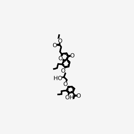 CCCc1c(OCC(O)COc2ccc3c(=O)cc(CCC(=O)OCC)oc3c2CCC)ccc(C(C)=O)c1O